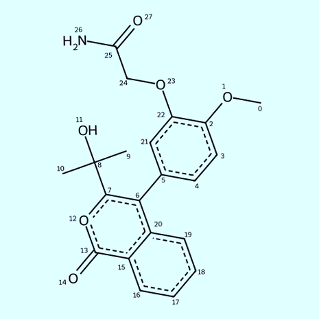 COc1ccc(-c2c(C(C)(C)O)oc(=O)c3ccccc23)cc1OCC(N)=O